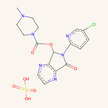 CN1CCN(C(=O)OC2c3nccnc3C(=O)N2c2ccc(Cl)cn2)CC1.O=S(=O)(O)O